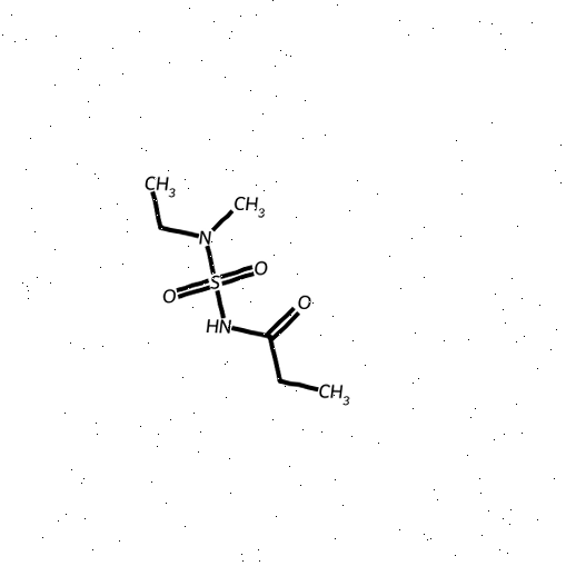 CCC(=O)NS(=O)(=O)N(C)CC